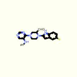 CC(C)Nc1cncnc1N1CCN(c2cc3cc(F)ccc3[nH]2)C(C=O)C1